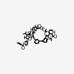 CC#CC(=O)N1CC[C@@H](C(=O)N(C)C(C(=O)N[C@H]2Cc3cccc(c3)-c3ccc4c(c3)c(c(-c3cccnc3[C@H](C)OC)n4CC)CC(C)(C)COC(=O)[C@@H]3CCCN(N3)C2=O)C(C)C)C1